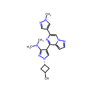 CN(C)c1nn([C@H]2C[C@H](C#N)C2)cc1-c1nc(-c2cnn(C)c2)cn2nccc12